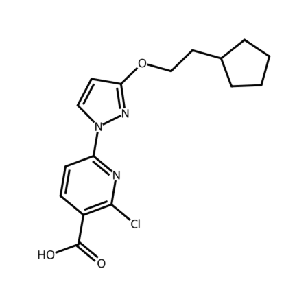 O=C(O)c1ccc(-n2ccc(OCCC3CCCC3)n2)nc1Cl